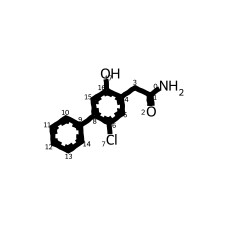 NC(=O)Cc1cc(Cl)c(-c2ccccc2)cc1O